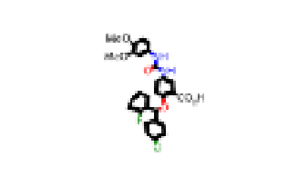 COc1ccc(NC(=O)Nc2ccc(OC(c3ccc(Cl)cc3)c3ccccc3F)c(C(=O)O)c2)cc1OC